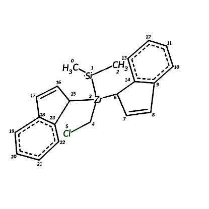 C[Si](C)[Zr]([CH2]Cl)([CH]1C=Cc2ccccc21)[CH]1C=Cc2ccccc21